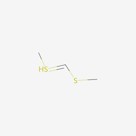 CSC=[SH]C